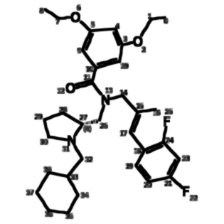 CCOc1cc(OCC)cc(C(=O)N(CC(C)=Cc2ccc(F)cc2F)C[C@H]2CCCN2CC2CCCCC2)c1